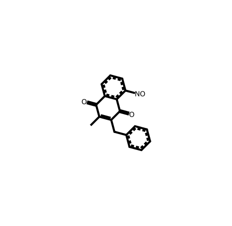 CC1=C(Cc2ccccc2)C(=O)c2c(N=O)cccc2C1=O